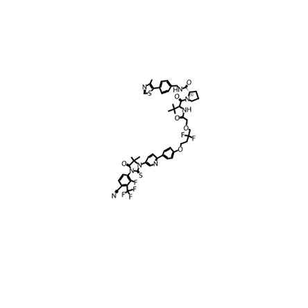 Cc1ncsc1-c1ccc(CNC(=O)[C@@H]2CCCN2C(=O)C(NC(=O)COCC(F)(F)CCOc2ccc(-c3ccc(N4C(=S)N(c5ccc(C#N)c(C(F)(F)F)c5F)C(=O)C4(C)C)cn3)cc2)C(C)(C)C)cc1